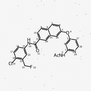 CC(=O)Nc1cc(Oc2ccc3ccc(C(=O)Nc4ccc(Cl)c(CF)c4)cc3c2)ccn1